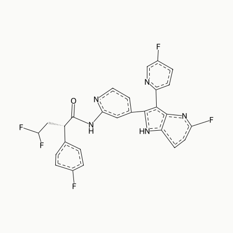 O=C(Nc1cc(-c2[nH]c3ccc(F)nc3c2-c2ccc(F)cn2)ccn1)[C@@H](CC(F)F)c1ccc(F)cc1